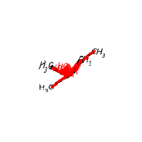 CCCCCCCCCCCCCCCCCCCCCCCCCCC=CCCCCC(CCCCCCCCCCCCCCCCCC)C(CCCCCCCCCCCCCCCCCC)C(CCCCCCCCCCCCCCCCCC)C(=O)OC(C(CC(=O)O)C(=O)O)C(CC(=O)O)C(=O)O